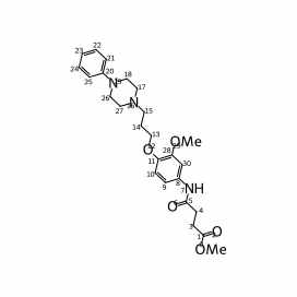 COC(=O)CCC(=O)Nc1ccc(OCCCN2CCN(c3ccccc3)CC2)c(OC)c1